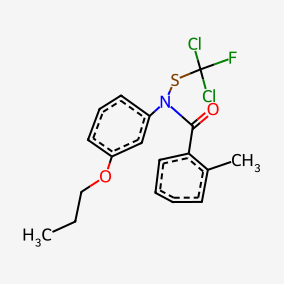 CCCOc1cccc(N(SC(F)(Cl)Cl)C(=O)c2ccccc2C)c1